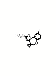 O=C(O)c1cc2n(n1)-c1cc(I)ccc1OCC21CC1